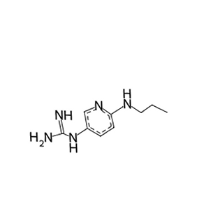 CCCNc1ccc(NC(=N)N)cn1